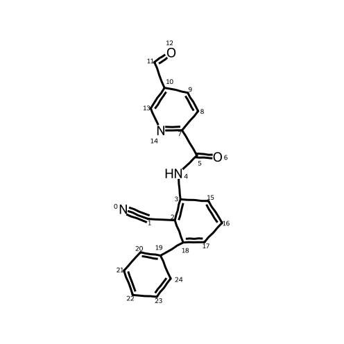 N#Cc1c(NC(=O)c2ccc(C=O)cn2)cccc1-c1ccccc1